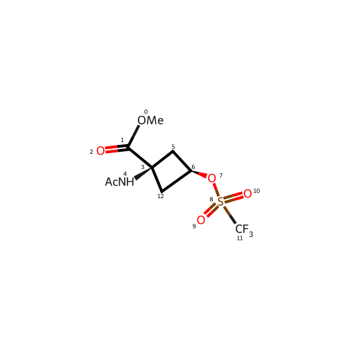 COC(=O)[C@]1(NC(C)=O)C[C@@H](OS(=O)(=O)C(F)(F)F)C1